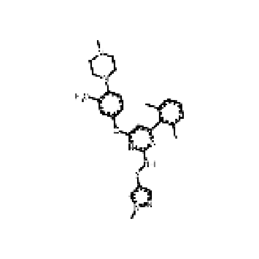 Cc1cccc(C)c1-c1cc(Oc2ccc(N3CCN(C)CC3)c(C(F)(F)F)c2)nc(NSc2cnn(C)c2)n1